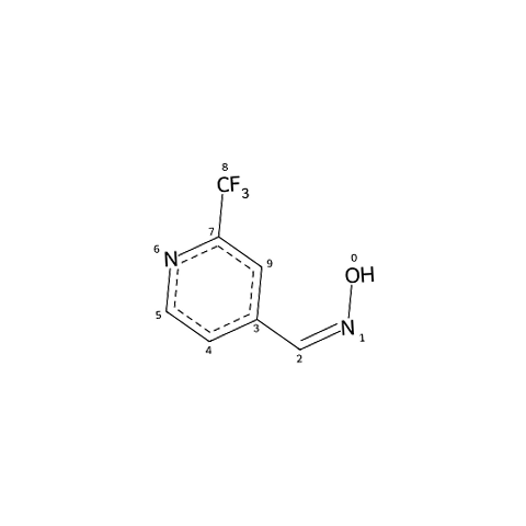 O/N=C\c1ccnc(C(F)(F)F)c1